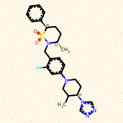 CC1CN(c2ccc(CN3[C@@H](C)CC[C@H](c4ccccc4)S3(=O)=O)c(F)c2)CC[C@H]1n1cnnc1